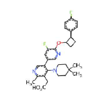 Cc1ncc(-c2cnc(OC3CCC3c3ccc(F)cc3)c(F)c2)c(N2CCC(C)(C)CC2)c1CC(=O)O